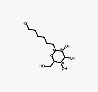 OCC1O[C@@H](CCCCCCS)[C@@H](O)C(O)[C@H]1O